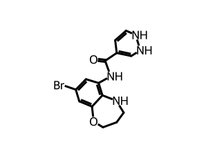 O=C(Nc1cc(Br)cc2c1NCCCO2)C1=CNNC=C1